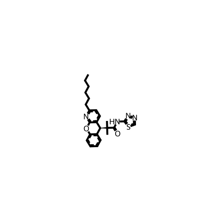 CCCCCCc1ccc2c(n1)Oc1ccccc1[C@@H]2C(C)(C)C(=O)Nc1nncs1